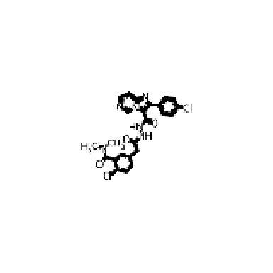 CN(C)C(=O)c1cc(CC(=O)NNC(=O)c2c(-c3ccc(Cl)cc3)nc3ccncn23)ccc1Cl